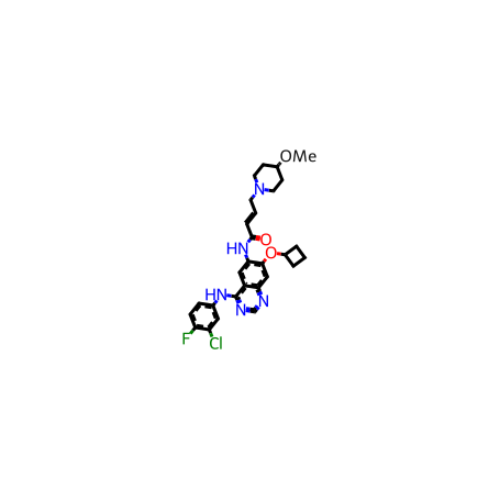 COC1CCN(C/C=C/C(=O)Nc2cc3c(Nc4ccc(F)c(Cl)c4)ncnc3cc2OC2CCC2)CC1